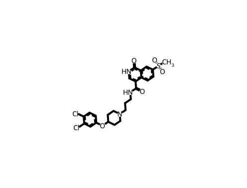 CS(=O)(=O)c1ccc2c(C(=O)NCCCN3CCC(Oc4ccc(Cl)c(Cl)c4)CC3)c[nH]c(=O)c2c1